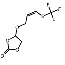 O=C1OCC(OC/C=C\SC(F)(F)F)O1